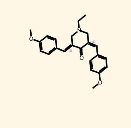 CCN1C/C(=C/c2ccc(OC)cc2)C(=O)/C(=C/c2ccc(OC)cc2)C1